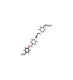 CCCCC[C@H]1CC[C@H](/C=C/C#C[C@H]2CC[C@H](COc3ccc(CCC)cc3)CC2)CC1